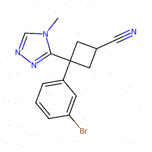 Cn1cnnc1C1(c2cccc(Br)c2)CC(C#N)C1